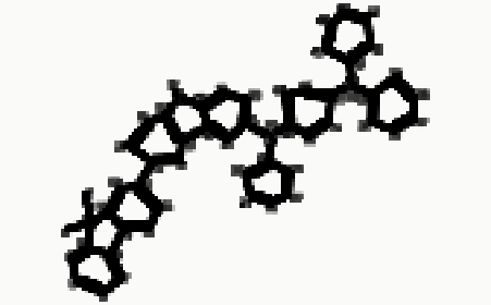 CC1(C)c2ccccc2-c2ccc(-c3ccc4sc5ccc(N(c6ccccc6)c6ccc(N(c7ccccc7)c7ccccc7)cc6)cc5c4c3)cc21